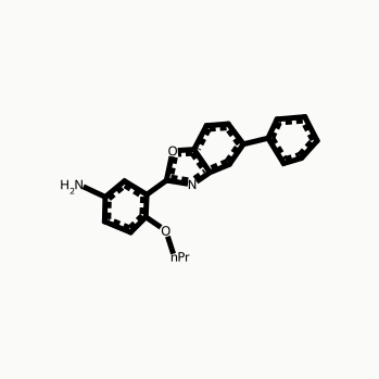 CCCOc1ccc(N)cc1-c1nc2cc(-c3ccccc3)ccc2o1